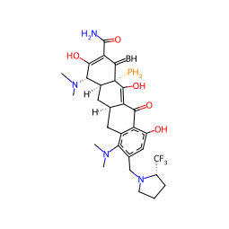 B=C1C(C(N)=O)=C(O)[C@@H](N(C)C)[C@@H]2C[C@@H]3Cc4c(c(O)cc(CN5CCC[C@H]5C(F)(F)F)c4N(C)C)C(=O)C3=C(O)[C@]12P